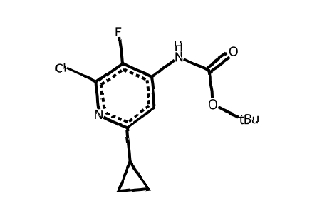 CC(C)(C)OC(=O)Nc1cc(C2CC2)nc(Cl)c1F